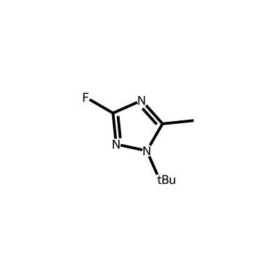 Cc1nc(F)nn1C(C)(C)C